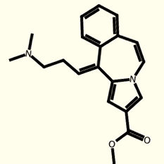 COC(=O)c1cc2n(c1)C=Cc1ccccc1C2=CCCN(C)C